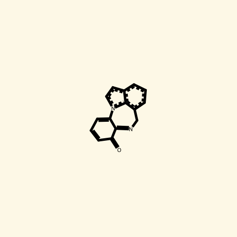 O=C1C=CC=C2C1=NCc1cccc3ccn2c13